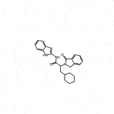 O=C(Nc1nc2ccccc2[nH]1)C(CC1CCCCC1)N1Cc2ccccc2C1=O